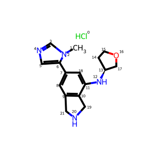 Cl.Cn1cncc1-c1cc2c(c(N[C@H]3CCOC3)c1)CNC2